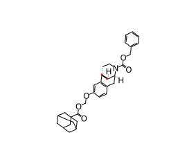 O=C(OCc1ccccc1)N1CC[C@@]23CCCC[C@@H]2[C@@H]1Cc1ccc(OCOC(=O)C24CC5CC(CC(C5)C2)C4)cc13